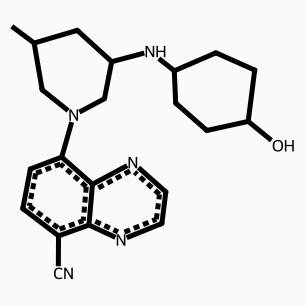 CC1CC(NC2CCC(O)CC2)CN(c2ccc(C#N)c3nccnc23)C1